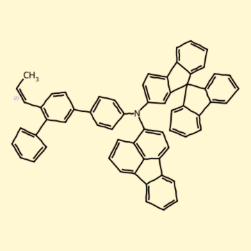 C/C=C\c1ccc(-c2ccc(N(c3ccc4c(c3)C3(c5ccccc5-c5ccccc53)c3ccccc3-4)c3ccc4c5c(cccc35)-c3ccccc3-4)cc2)cc1-c1ccccc1